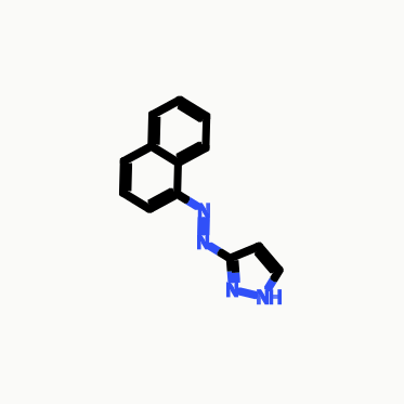 c1ccc2c(N=Nc3cc[nH]n3)cccc2c1